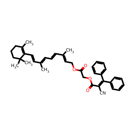 CC(C=CC1=C(C)CCCC1(C)C)=CC=CC(C)=CCOC(=O)COC(=O)C(C#N)=C(c1ccccc1)c1ccccc1